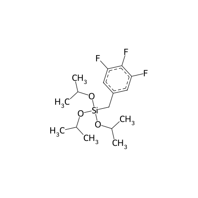 CC(C)O[Si](Cc1cc(F)c(F)c(F)c1)(OC(C)C)OC(C)C